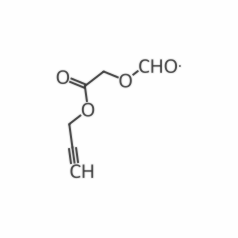 C#CCOC(=O)CO[C]=O